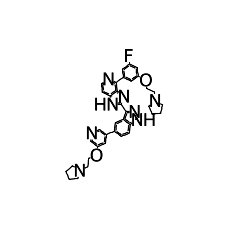 Fc1cc(OCCN2CCCC2)cc(-c2nccc3[nH]c(-c4n[nH]c5ccc(-c6cncc(OCCN7CCCC7)c6)cc45)nc23)c1